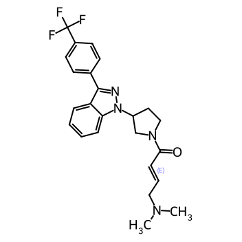 CN(C)C/C=C/C(=O)N1CCC(n2nc(-c3ccc(C(F)(F)F)cc3)c3ccccc32)C1